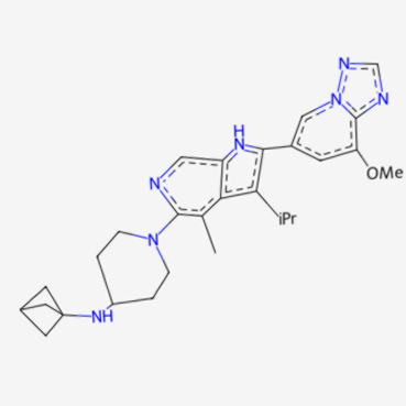 COc1cc(-c2[nH]c3cnc(N4CCC(NC56CC(C5)C6)CC4)c(C)c3c2C(C)C)cn2ncnc12